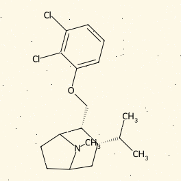 CC(C)[C@@H]1CC2CCC([C@@H]1COc1cccc(Cl)c1Cl)N2C